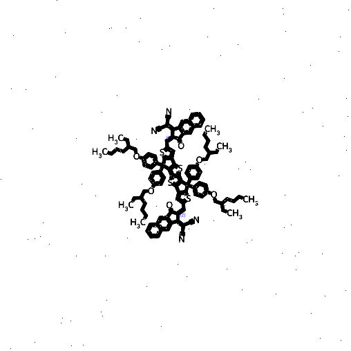 CCCCC(CC)COc1ccc(C2(c3ccc(OCC(CC)CCCC)cc3)c3sc(/C=C4\C(=O)c5cc6ccccc6cc5C4=C(C#N)C#N)cc3-c3sc4c5c(sc4c32)-c2cc(/C=C3\C(=O)c4cc6ccccc6cc4C3=C(C#N)C#N)sc2C5(c2ccc(OCC(CC)CCCC)cc2)c2ccc(OCC(CC)CCCC)cc2)cc1